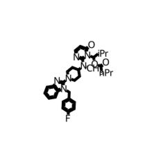 CCCC(=O)OC(C(C)C)n1c(N(C)C2CCN(c3nc4ccccc4n3Cc3ccc(F)cc3)CC2)nccc1=O